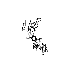 CC(C)NCC(CNc1cc(F)c(S(=O)(=O)Nc2ncns2)cc1Cl)[C@@H](C)N